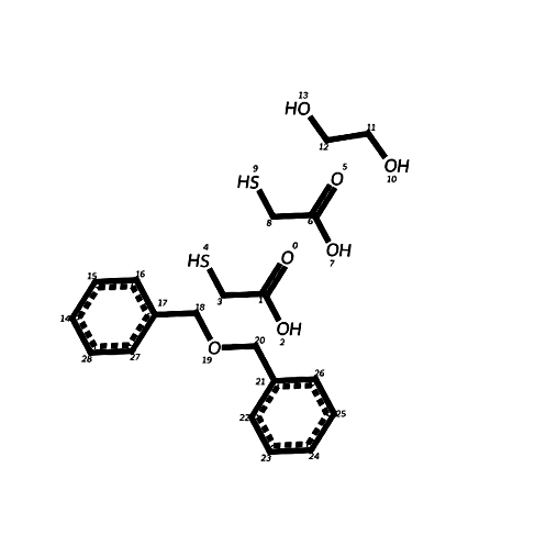 O=C(O)CS.O=C(O)CS.OCCO.c1ccc(COCc2ccccc2)cc1